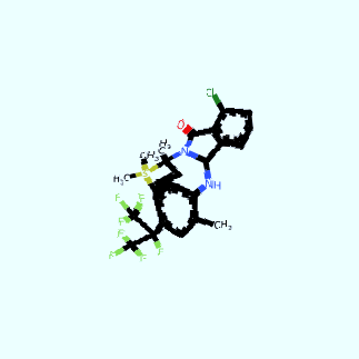 Cc1cc(C(F)(C(F)(F)F)C(F)(F)F)ccc1NC1c2cccc(Cl)c2C(=O)N1C1(C)C=CS1(C)C